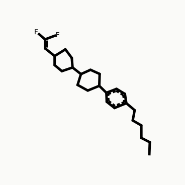 CCCCCCc1ccc(C2CCC(C3CCC(C=C(F)F)CC3)CC2)cc1